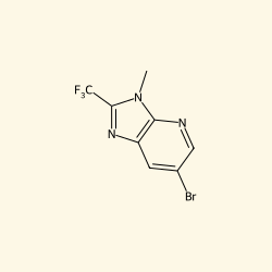 Cn1c(C(F)(F)F)nc2cc(Br)cnc21